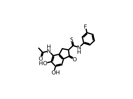 CC(=O)Nc1c(O)c(O)cc2c1CC(C(=S)Nc1cccc(F)c1)C2=O